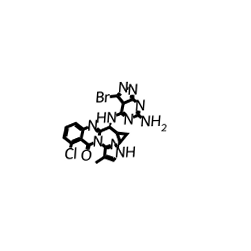 Cc1c[nH]nc1-n1c([C@@H](NC2=NC(N)=NC3=NN=C(Br)C32)C2CC2)nc2cccc(Cl)c2c1=O